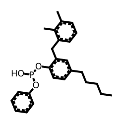 CCCCCc1ccc(OP(O)Oc2ccccc2)c(Cc2cccc(C)c2C)c1